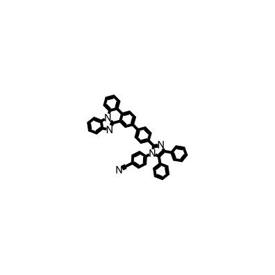 N#Cc1ccc(-n2c(-c3ccc(-c4ccc5c6ccccc6n6c7ccccc7nc6c5c4)cc3)nc(-c3ccccc3)c2-c2ccccc2)cc1